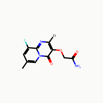 CCc1nc2c(F)cc(C)cn2c(=O)c1OCC(N)=O